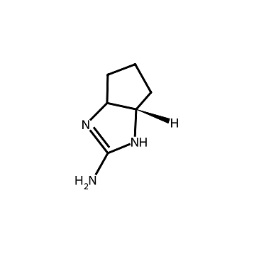 NC1=NC2CCC[C@@H]2N1